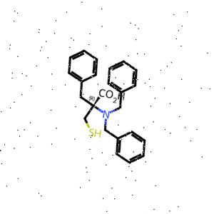 O=C(O)[C@@](CS)(Cc1ccccc1)N(Cc1ccccc1)Cc1ccccc1